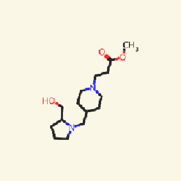 COC(=O)CCN1CCC(CN2CCC[C@H]2CO)CC1